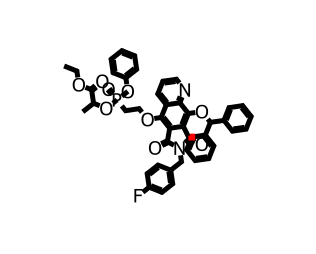 CCOC(=O)C(C)OP(=O)(CCOc1c2c(c(OC(c3ccccc3)c3ccccc3)c3ncccc13)C(=O)N(Cc1ccc(F)cc1)C2=O)Oc1ccccc1